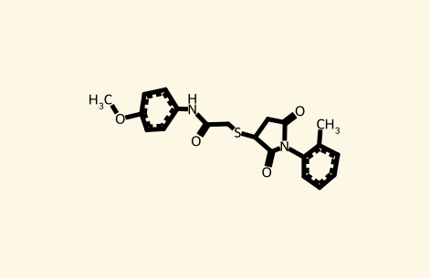 COc1ccc(NC(=O)CSC2CC(=O)N(c3ccccc3C)C2=O)cc1